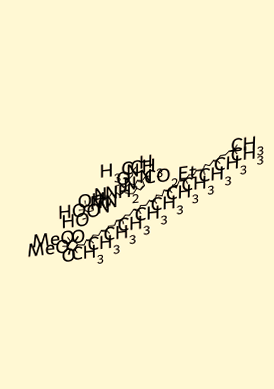 CCOC(=O)Nc1ccc2c(c1)N(C(=O)CN(C)C)c1ccccc1CC2.COC1=C(OC)C(=O)C(C/C=C(\C)CC/C=C(\C)CC/C=C(\C)CC/C=C(\C)CC/C=C(\C)CC/C=C(\C)CC/C=C(\C)CC/C=C(\C)CC/C=C(\C)CCC=C(C)C)=C(C)C1=O.Nc1ncnc2c1ncn2[C@@H]1O[C@H](CO)[C@@H](O)[C@H]1O